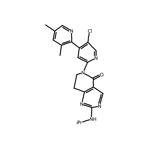 Cc1cnc(-c2cc(N3CCc4nc(NC(C)C)ncc4C3=O)ncc2Cl)c(C)c1